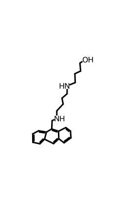 OCCCCNCCCCNCc1c2ccccc2cc2ccccc12